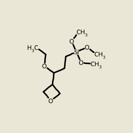 CCOC(CC[Si](OC)(OC)OC)C1COC1